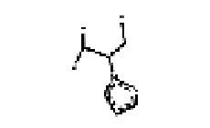 FCC(C(F)F)n1cccn1